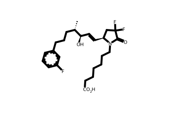 C[C@@H](CCCc1cccc(F)c1)[C@H](O)C=C[C@H]1CC(F)(F)C(=O)N1CCCCCCC(=O)O